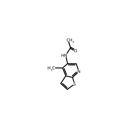 CC(=O)Nc1cnc2sccc2c1C